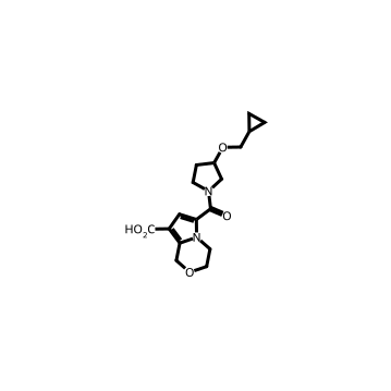 O=C(O)c1cc(C(=O)N2CCC(OCC3CC3)C2)n2c1COCC2